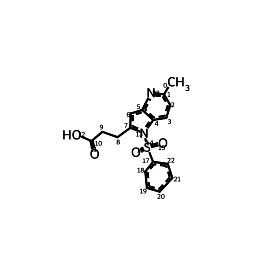 Cc1ccc2c(cc(CCC(=O)O)n2S(=O)(=O)c2ccccc2)n1